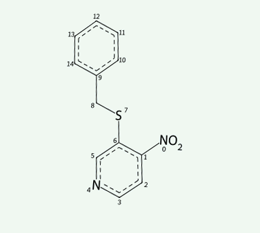 O=[N+]([O-])c1ccncc1SCc1ccccc1